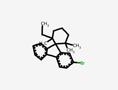 CCC1(C)CCCC(C)(C)C12c1ccccc1-c1ccc(Br)cc12